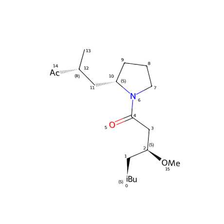 CC[C@H](C)C[C@@H](CC(=O)N1CCC[C@H]1C[C@@H](C)C(C)=O)OC